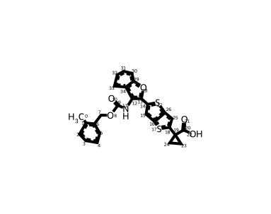 Cc1ccccc1COC(=O)Nc1c(-c2cc3sc(C4(C(=O)O)CC4)cc3s2)oc2ccccc12